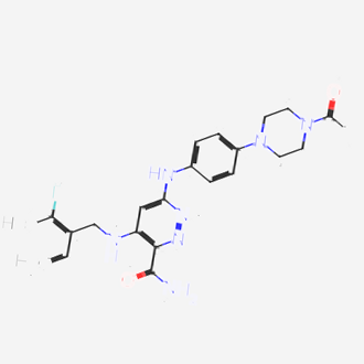 C=C/C(CNc1cc(Nc2ccc(N3CCN(C(=O)CC)CC3)cc2)nnc1C(N)=O)=C(\C)F